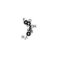 Cc1ccc(S(=O)(=O)OCC(O)C2CC(=O)c3cc(F)ccc3O2)cc1